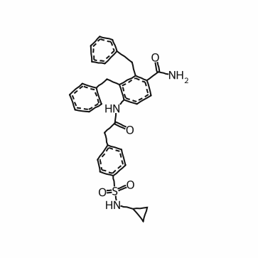 NC(=O)c1ccc(NC(=O)Cc2ccc(S(=O)(=O)NC3CC3)cc2)c(Cc2ccccc2)c1Cc1ccccc1